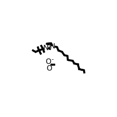 CC(=O)[O-].CCCCCCCCCCCCn1cc[n+](C(C)(C)C(C)(C)CC)c1